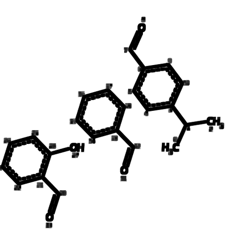 CC(C)c1ccc(C=O)cc1.O=Cc1ccccc1.O=Cc1ccccc1O